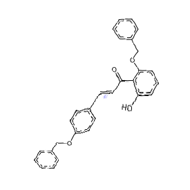 O=C(/C=C/c1ccc(OCc2ccccc2)cc1)c1c(O)cccc1OCc1ccccc1